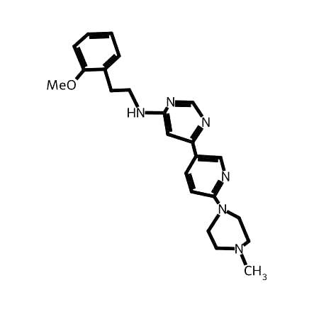 COc1ccccc1CCNc1cc(-c2ccc(N3CCN(C)CC3)nc2)ncn1